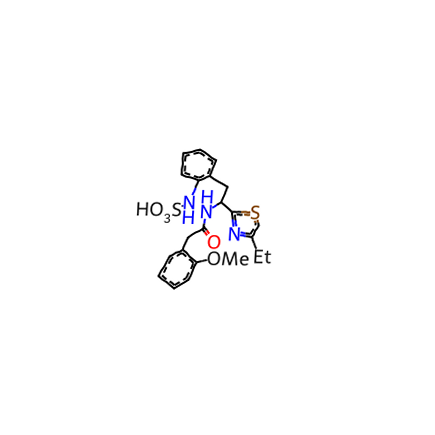 CCc1csc(C(Cc2ccccc2NS(=O)(=O)O)NC(=O)Cc2ccccc2OC)n1